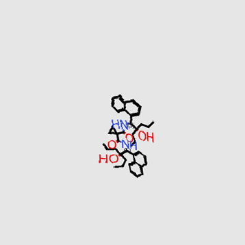 CCCC(O)(CCC)[C@@H](NC(=O)C1(C(=O)N[C@@H](c2cccc3ccccc23)C(O)(CCC)CCC)CC1)c1cccc2ccccc12